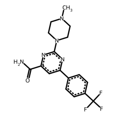 CN1CCN(c2nc(C(N)=O)cc(-c3ccc(C(F)(F)F)cc3)n2)CC1